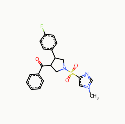 Cn1cnc(S(=O)(=O)N2CC(C(=O)c3ccccc3)C(c3ccc(F)cc3)C2)c1